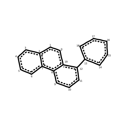 [c]1cc2ccccc2c2cccc(-c3ccccc3)c12